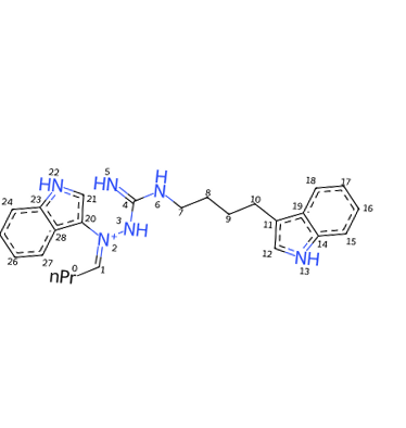 CCCC=[N+](NC(=N)NCCCCc1c[nH]c2ccccc12)c1c[nH]c2ccccc12